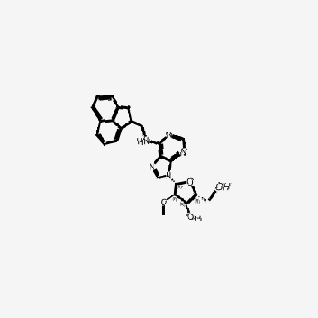 CO[C@@H]1[C@H](O)[C@@H](CO)O[C@H]1n1cnc2c(NCC3Cc4cccc5cccc3c45)ncnc21